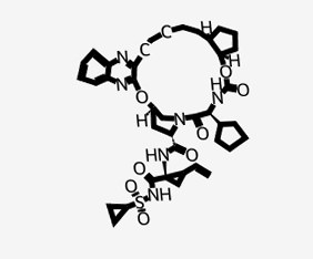 C=CC1C[C@]1(NC(=O)[C@@H]1C[C@@H]2CN1C(=O)[C@H](C1CCCC1)NC(=O)O[C@H]1CCC[C@@H]1CCCCCc1nc3ccccc3nc1O2)C(=O)NS(=O)(=O)C1CC1